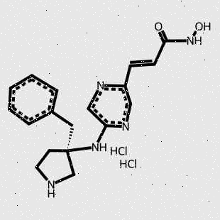 Cl.Cl.O=C(/C=C/c1cnc(N[C@]2(Cc3ccccc3)CCNC2)cn1)NO